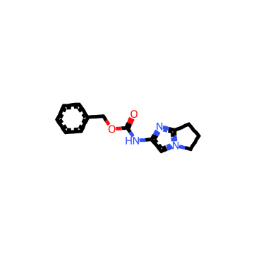 O=C(Nc1cn2c(n1)CCC2)OCc1ccccc1